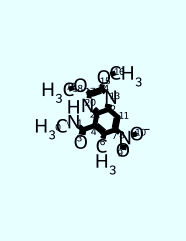 CNC(=O)c1c(C)c([N+](=O)[O-])cc2nc(OC)c(OC)nc12